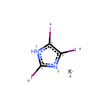 Ic1nc(I)c(I)[nH]1.[K]